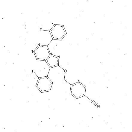 N#Cc1ccc(COc2nn3c(-c4ccccc4F)nncc3c2-c2ccccc2F)nc1